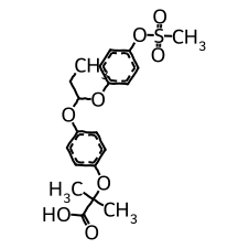 CCC(Oc1ccc(OC(C)(C)C(=O)O)cc1)Oc1ccc(OS(C)(=O)=O)cc1